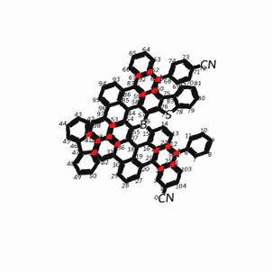 N#Cc1ccc(N(c2ccccc2)c2ccc3c(c2)C(c2c(-c4ccccc4)cccc2-c2ccccc2)c2cc(-n4c5ccccc5c5ccccc54)cc4c2B3c2c(cc(N(c3ccccc3)c3ccc(C#N)cc3)c3c2sc2ccccc23)C4c2c(-c3ccccc3)cccc2-c2ccccc2)cc1